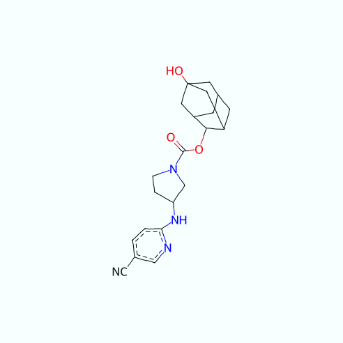 N#Cc1ccc(NC2CCN(C(=O)OC3C4CC5CC3CC(O)(C5)C4)C2)nc1